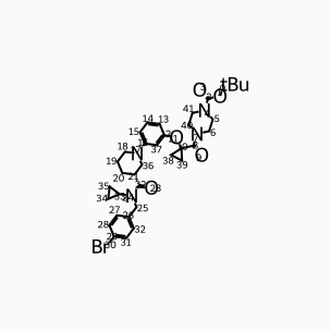 CC(C)(C)OC(=O)N1CCN(C(=O)C2(Oc3cccc(N4CCC[C@@H](C(=O)N(Cc5ccc(Br)cc5)C5CC5)C4)c3)CC2)CC1